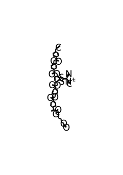 [C-]#[N+]/C(C#N)=C1/Sc2c(OC(=O)c3ccc(OC(=O)c4ccc(C=C=C)cc4)cc3)ccc(OC(=O)c3ccc(OC(=O)c4ccc(C(=C)C(=O)OCCCCOC=O)cc4)cc3)c2S1